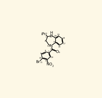 CC(C)C1CCN(C(=O)c2ccc(Br)c([N+](=O)[O-])c2)c2ccccc2N1